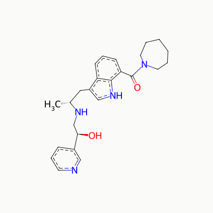 C[C@H](Cc1c[nH]c2c(C(=O)N3CCCCCC3)cccc12)NC[C@@H](O)c1cccnc1